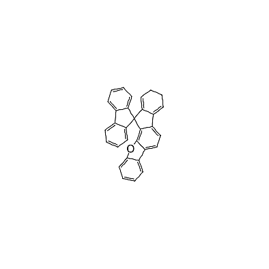 C1=C2C(=CCC1)C1(c3ccccc3-c3ccccc31)c1c2ccc2c1oc1ccccc12